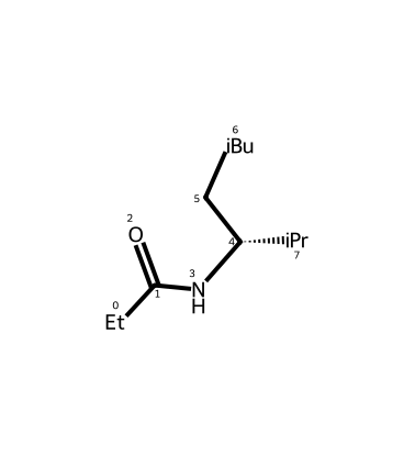 CCC(=O)N[C@H](CC(C)CC)C(C)C